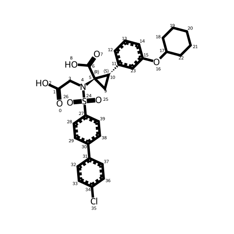 O=C(O)CN([C@]1(C(=O)O)C[C@H]1c1cccc(OC2CCCCC2)c1)S(=O)(=O)c1ccc(-c2ccc(Cl)cc2)cc1